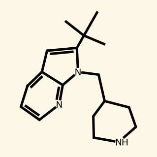 CC(C)(C)c1cc2cccnc2n1CC1CCNCC1